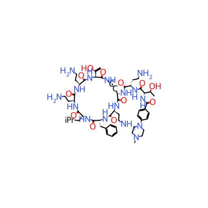 C=C(O)[C@@H]1NC(=O)[C@H](CCN)NC(=O)[C@H](CCN)NC(=O)[C@H](CC(C)C)NC(=O)[C@@H](Cc2ccccc2)NC(=O)[C@H](CCN)NC(=O)[C@@H](NC(=O)[C@H](CCN)NC(=O)[C@@H](NC(=O)c2ccc(N3CCN(C)CC3)cc2)C(C)O)CCNC1=O